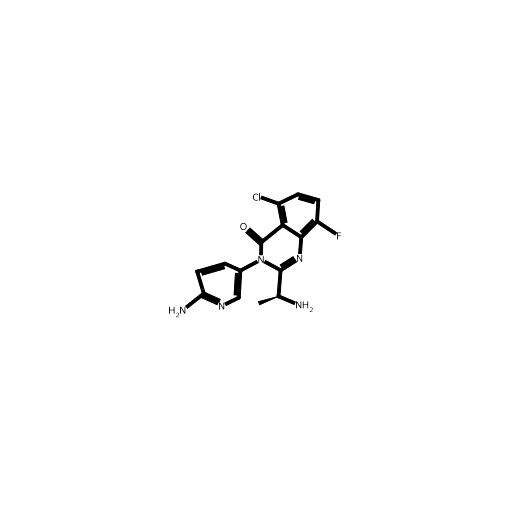 C[C@H](N)c1nc2c(F)ccc(Cl)c2c(=O)n1-c1ccc(N)nc1